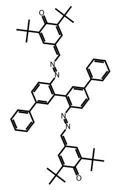 CC(C)(C)C1=CC(=C/N=N/c2ccc(-c3ccccc3)cc2-c2cc(-c3ccccc3)ccc2/N=N/C=C2C=C(C(C)(C)C)C(=O)C(C(C)(C)C)=C2)C=C(C(C)(C)C)C1=O